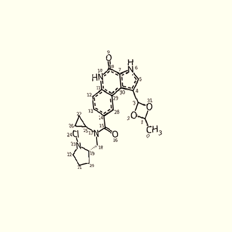 CC1OC(c2c[nH]c3c(=O)[nH]c4ccc(C(=O)N(C[C@@H]5CCCN5Cl)C5CC5)cc4c23)O1